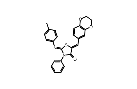 Cc1ccc(N=C2SC(=Cc3ccc4c(c3)OCCO4)C(=O)N2c2ccccc2)cc1